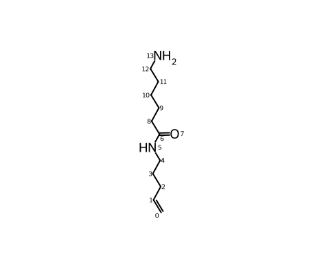 C=CCCCNC(=O)CCCCCN